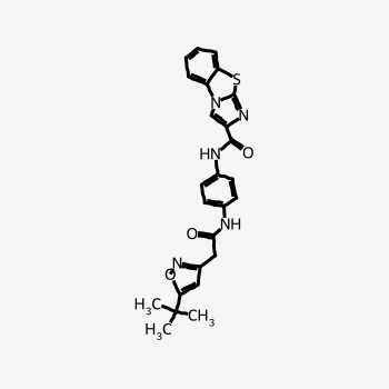 CC(C)(C)c1cc(CC(=O)Nc2ccc(NC(=O)c3cn4c(n3)sc3ccccc34)cc2)no1